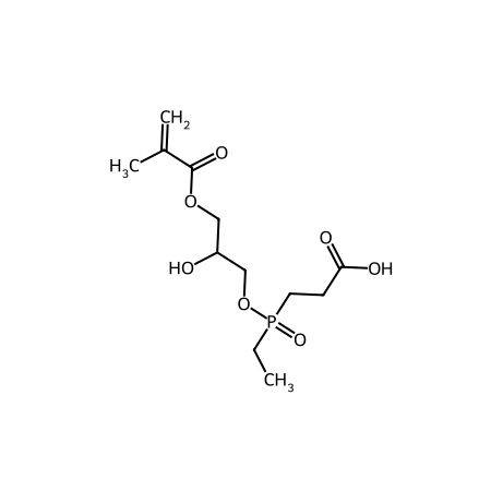 C=C(C)C(=O)OCC(O)COP(=O)(CC)CCC(=O)O